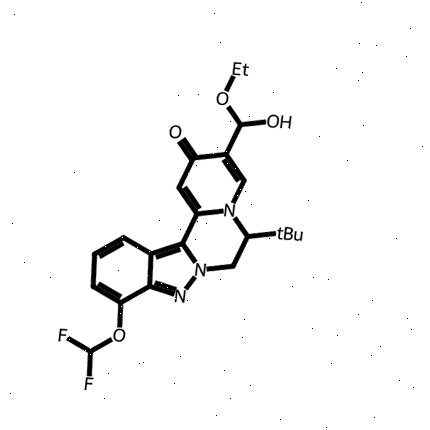 CCOC(O)c1cn2c(cc1=O)-c1c3cccc(OC(F)F)c3nn1CC2C(C)(C)C